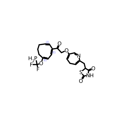 O=C1NC(=O)C(CC2=CCC=C(OCC(=O)C3=C/C=C(/OC(F)(F)P)CCC/C=C\3)C=N2)S1